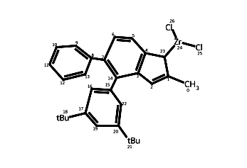 CC1=Cc2c(ccc(-c3ccccc3)c2-c2cc(C(C)(C)C)cc(C(C)(C)C)c2)[CH]1[Zr]([Cl])[Cl]